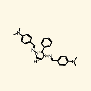 CN(C)c1ccc(C=Nn2cc[n+](N=Cc3ccc(N(C)C)cc3)c2-c2ccccc2)cc1.[H+]